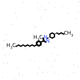 CCCCCCCCCCc1ccc(-c2cnc([C@H]3CC[C@H](CCCCC)CC3)nc2C)cc1